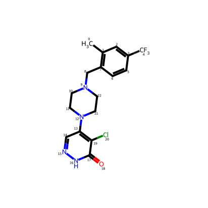 Cc1cc(C(F)(F)F)ccc1CN1CCN(c2cn[nH]c(=O)c2Cl)CC1